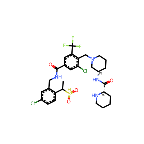 CC(c1ccc(Cl)cc1CNC(=O)c1cc(Cl)c(CN2CCC[C@H](NC(=O)[C@@H]3CCCCN3)C2)c(C(F)(F)F)c1)[SH](=O)=O